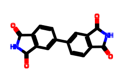 O=C1NC(=O)c2cc(-c3ccc4c(c3)C(=O)NC4=O)ccc21